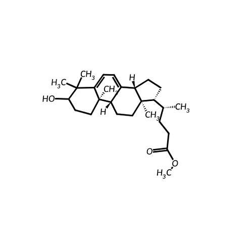 COC(=O)CC[C@@H](C)[C@H]1CC[C@H]2C3=CC=C4C(C)(C)C(O)CC[C@]4(C)[C@H]3CC[C@]12C